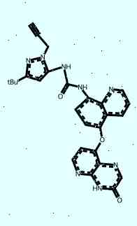 C#CCn1nc(C(C)(C)C)cc1NC(=O)Nc1ccc(Oc2ccnc3[nH]c(=O)cnc23)c2cccnc12